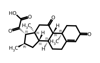 C[C@@H]1C[C@H]2[C@@H]3CCC4=CC(=O)CC[C@]4(C)[C@H]3C(=O)C[C@]2(C)[C@H]1C(=O)C(=O)O